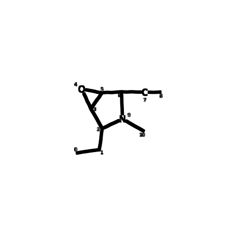 CCC1C2OC2C(CC)N1C